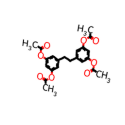 CC(=O)Oc1cc(CCc2cc(OC(C)=O)cc(OC(C)=O)c2)cc(OC(C)=O)c1